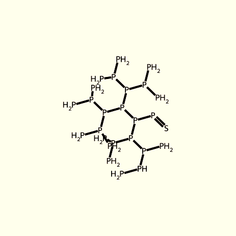 PPP(P)P(P(P)P)P(P=S)P(P(P(P)P)P(P)P)P(P(P)P)P(P)P